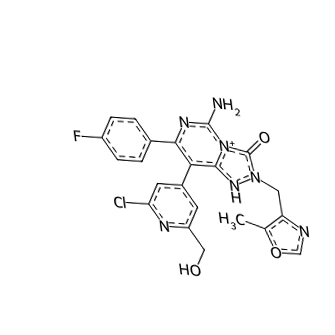 Cc1ocnc1Cn1[nH]c2c(-c3cc(Cl)nc(CO)c3)c(-c3ccc(F)cc3)nc(N)[n+]2c1=O